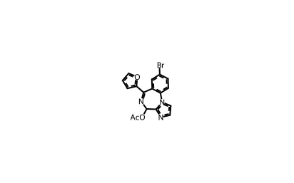 CC(=O)OC1N=C(c2ccco2)c2cc(Br)ccc2-n2ccnc21